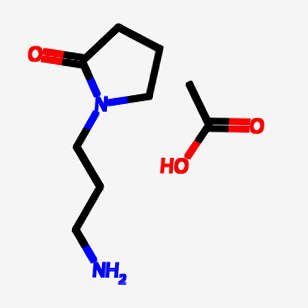 CC(=O)O.NCCCN1CCCC1=O